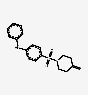 C=C1CCN(S(=O)(=O)c2ccc(Nc3ccccc3)nc2)CC1